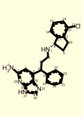 Nc1cc(C(CCN[C@H]2CCc3c(Cl)cccc32)c2ccccc2)c2nn[nH]c2n1